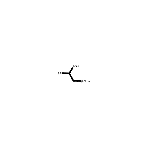 [CH2]CCCCCC(CC)CCCC